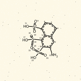 Nc1cc2cccc(S(=O)(=O)O)c2c(S(=O)(=O)O)c1S(=O)(=O)O